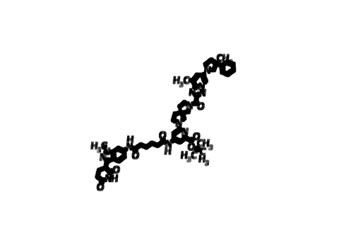 Cc1cc(N2CC[C@](C)(c3ccccc3)C2)cn2nc(C(=O)N3CC[C@@]4(CCN(c5cc(NC(=O)CCCCC(=O)Nc6ccc7c(C8CCC(=O)NC8=O)nn(C)c7c6)cc(C(=O)OC(C)(C)C)n5)C4)C3)nc12